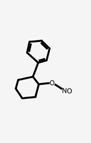 O=NOC1CCCCC1c1ccccc1